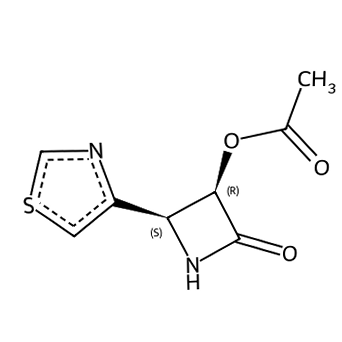 CC(=O)O[C@H]1C(=O)N[C@H]1c1cscn1